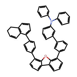 C1=Cc2c(cccc2-c2ccc(-c3cccc4c3oc3c(-c5cccc(-c6cccc(N(c7ccccc7)c7ccccc7)c6)c5)cccc34)cc2)CC1